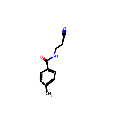 Cc1ccc(C(=O)NCCC#N)cc1